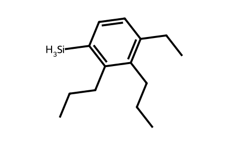 CCCc1c([SiH3])ccc(CC)c1CCC